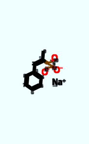 CC(=Cc1ccccc1)S(=O)(=O)[O-].[Na+]